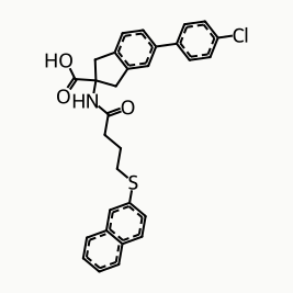 O=C(CCCSc1ccc2ccccc2c1)NC1(C(=O)O)Cc2ccc(-c3ccc(Cl)cc3)cc2C1